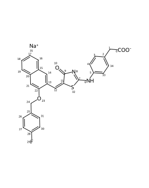 O=C([O-])Cc1ccc(NC2=NC(=O)C(=Cc3cc4ccccc4cc3OCc3ccc(F)cc3)S2)cc1.[Na+]